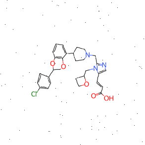 O=C(O)/C=C/c1cnc(CN2CCC(c3cccc4c3OCC(c3ccc(Cl)cc3)O4)CC2)n1CC1CCO1